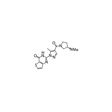 CN[C@@H]1CCN(C(=O)c2cnn(-c3nc4ccsc4c(=O)[nH]3)c2C)C1